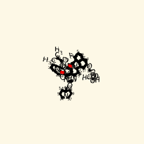 C#Cc1c(F)ccc2cc(OCOP(=O)(O)O)cc(-c3ncc4c(N5CC6CCC(C5)N6C(O)OC(C)OC(=O)C(C)C)nc(OCC56CCCN5CCC6)nc4c3F)c12